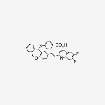 O=C(O)c1ccc(SC2c3ccccc3COc3ccc(C=Cc4ccc5cc(F)c(F)cc5n4)cc32)cc1